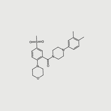 Cc1ccc(N2CCN(C(=O)c3cc(S(C)(=O)=O)ccc3N3CCOCC3)CC2)cc1C